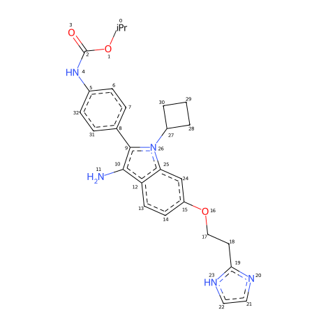 CC(C)OC(=O)Nc1ccc(-c2c(N)c3ccc(OCCc4ncc[nH]4)cc3n2C2CCC2)cc1